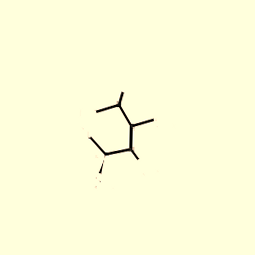 CC(I)C(C)C(C)[C@@H](N)I